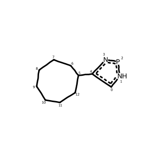 c1[nH]pnc1C1CCCCCCC1